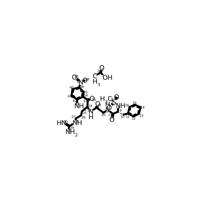 CC(=O)O.CS(=O)(=O)N[C@H](Cc1ccccc1)C(=O)NCC(=O)NC(CCCNC(=N)N)C(=O)c1cc([N+](=O)[O-])ccc1N